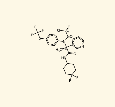 C[C@](C(=O)NC1CCC(F)(F)CC1)(c1cccnc1)N(C(=O)[C@H](F)Cl)c1ccc(SC(F)(F)F)cc1